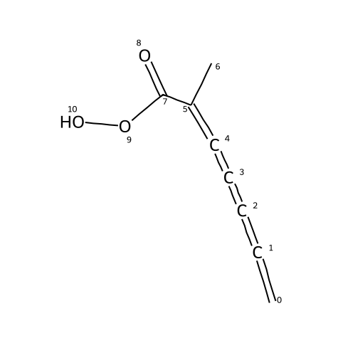 C=C=C=C=C=C(C)C(=O)OO